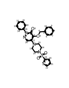 O=c1c(OCc2ccccc2)c(N2CCN(S(=O)(=O)c3cccs3)CC2)cnn1-c1ccccc1